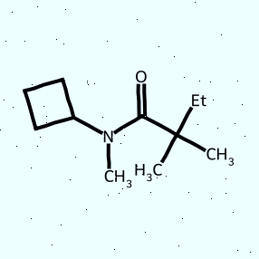 CCC(C)(C)C(=O)N(C)C1CCC1